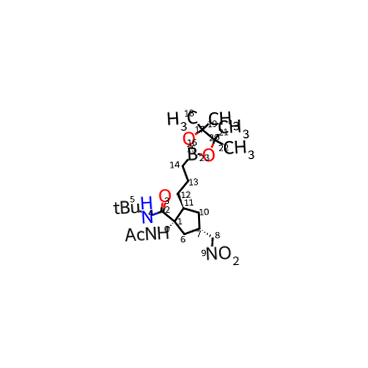 CC(=O)N[C@@]1(C(=O)NC(C)(C)C)C[C@@H](C[N+](=O)[O-])C[C@@H]1CCCB1OC(C)(C)C(C)(C)O1